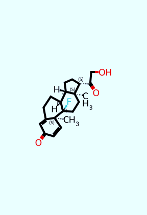 C[C@]12CC[C@@]3(F)[C@@H](CCC4=CC(=O)C=C[C@@]43C)[C@@H]1CC[C@@H]2C(=O)CO